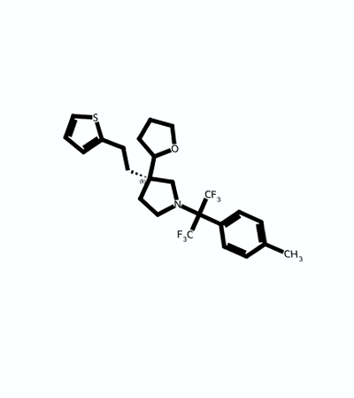 Cc1ccc(C(N2CC[C@@](CCc3cccs3)(C3CCCO3)C2)(C(F)(F)F)C(F)(F)F)cc1